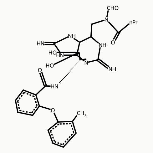 CCCC(=O)N(C=O)CC1NC(=N)N2C[C@H](NC(=O)c3ccccc3Oc3ccccc3C)C(O)(O)C23NC(=N)NC13